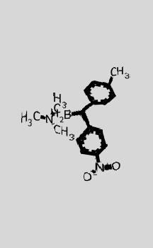 BC(c1ccc(C)cc1)c1ccc([N+](=O)[O-])cc1.CN(C)C